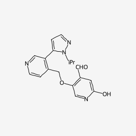 CC(C)n1nccc1-c1cnccc1COc1cnc(O)cc1C=O